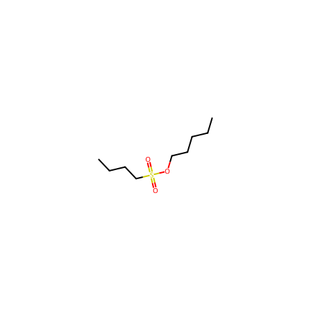 CCCCCOS(=O)(=O)CCCC